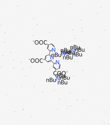 CCCC[N+](CCCC)(CCCC)CCCC.CCCC[N+](CCCC)(CCCC)CCCC.CCCC[N+](CCCC)(CCCC)CCCC.O=C([O-])c1ccnc(-c2cc(C(=O)[O-])cc(-c3cc(C(=O)[O-])ccn3)n2)c1